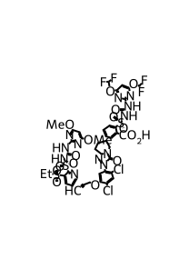 C#CCOc1cc(-n2nc3n(c2=O)CCCC3)c(Cl)cc1Cl.CCS(=O)(=O)c1cccnc1S(=O)(=O)NC(=O)Nc1nc(OC)cc(OC)n1.O=C(Nc1nc(OC(F)F)cc(OC(F)F)n1)NS(=O)(=O)c1ccccc1C(=O)O